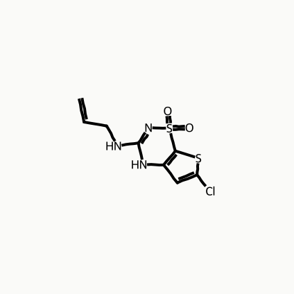 C=CCNC1=NS(=O)(=O)c2sc(Cl)cc2N1